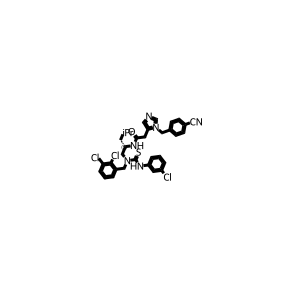 CC(C)C[C@@H](CN(Cc1cccc(Cl)c1Cl)C(=S)Nc1cccc(Cl)c1)NC(=O)Cc1cncn1Cc1ccc(C#N)cc1